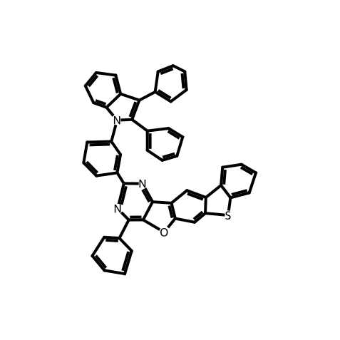 c1ccc(-c2c(-c3ccccc3)n(-c3cccc(-c4nc(-c5ccccc5)c5oc6cc7sc8ccccc8c7cc6c5n4)c3)c3ccccc23)cc1